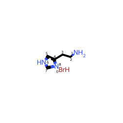 Br.NCCc1c[nH]cn1